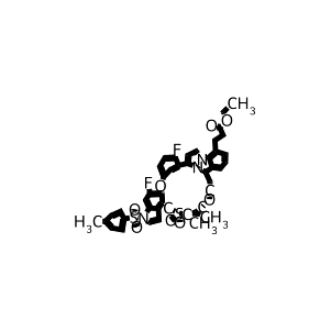 CCOC(=O)CCc1cccc(C2CCOCC(C)(C)CS(=O)(=O)Cc3c(c(F)cc4c3ccn4S(=O)(=O)c3ccc(C)cc3)Oc3ccc(F)c(c3)-c3ccnn32)c1